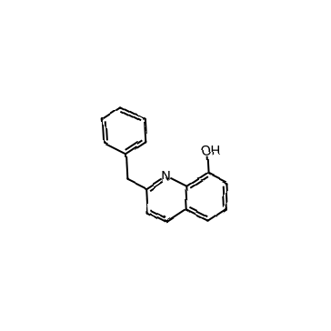 Oc1cccc2ccc(Cc3ccccc3)nc12